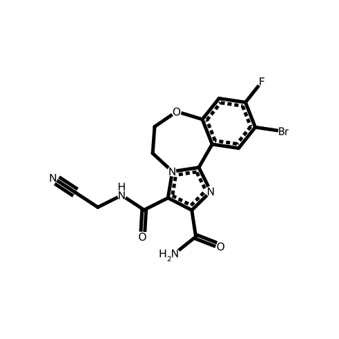 N#CCNC(=O)c1c(C(N)=O)nc2n1CCOc1cc(F)c(Br)cc1-2